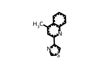 Cc1cc(-c2cscn2)nc2ccccc12